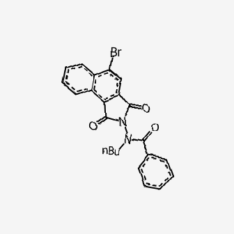 CCCCN(C(=O)c1ccccc1)N1C(=O)c2cc(Br)c3ccccc3c2C1=O